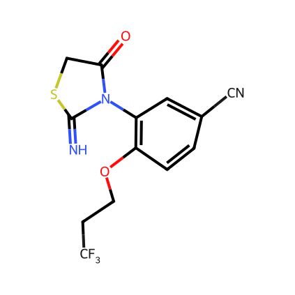 N#Cc1ccc(OCCC(F)(F)F)c(N2C(=N)SCC2=O)c1